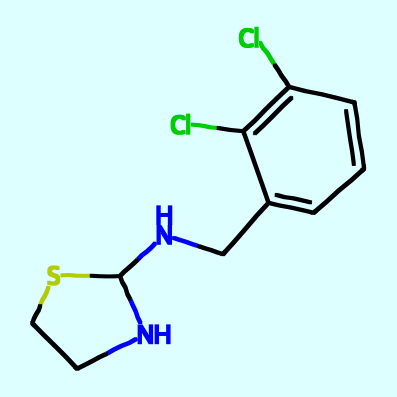 Clc1cccc(CNC2NCCS2)c1Cl